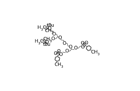 Cc1ccc(S(=O)(=O)OCCOCC(COCCOS(=O)(=O)c2ccc(C)cc2)OCCOCCOC(COCCO[Si](C)(C)C(C)(C)C)COCCO[Si](C)(C)C(C)(C)C)cc1